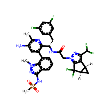 Cc1nc([C@H](Cc2cc(F)cc(F)c2)NC(=O)Cn2nc(C(F)F)c3c2C(F)(F)[C@@H]2C[C@H]32)c(-c2cccc3c(NS(C)(=O)=O)nn(C)c23)cc1N